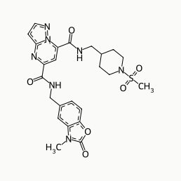 Cn1c(=O)oc2ccc(CNC(=O)c3cc(C(=O)NCC4CCN(S(C)(=O)=O)CC4)n4nccc4n3)cc21